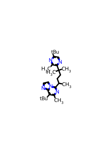 Cc1nc(C(C)(C)C)cnc1C(C)(C)CCC(C)c1nc(C)c(C(C)(C)C)c2nccn12